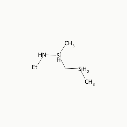 CCN[SiH](C)C[SiH2]C